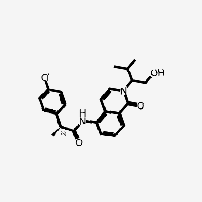 CC(C)C(CO)n1ccc2c(NC(=O)[C@@H](C)c3ccc(Cl)cc3)cccc2c1=O